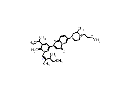 C=C1C(C(C)C)=CC(c2cc(=O)n3cc(N4CCN(CCOC)C(C)C4)ccc3n2)=CN1/C=C(/C)C(C)CC